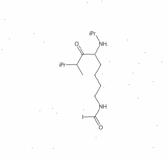 CC(C)NC(CCCCNC(=O)I)C(=O)C(C)C(C)C